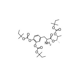 CCC(C)(C)OC(=O)Oc1ccc(C[C@H](N)C(=O)O[C@@H](C)C(C)OC(=O)OC(C)(C)CC)cc1OC(=O)OC(C)(C)CC